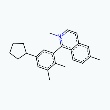 Cc1ccc2c(-c3cc(C4CCCC4)cc(C)c3C)[n+](C)ccc2c1